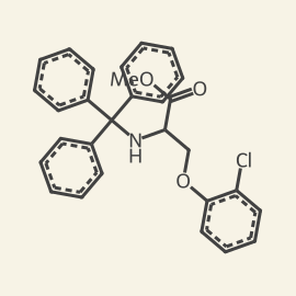 COC(=O)C(COc1ccccc1Cl)NC(c1ccccc1)(c1ccccc1)c1ccccc1